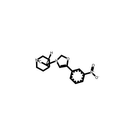 O=[N+]([O-])c1cccc(C2=CN([C@H]3CN4CCC3CC4)CO2)c1